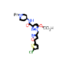 CC(C)N1CCC(NC(=O)c2cc(OC(=O)O)n(Cc3cc(-c4ccc(Cl)s4)on3)n2)CC1